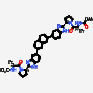 COC(=O)N[C@@H](C(=O)N1CCC[C@H]1c1nc2cc(-c3ccc4ccc(-c5ccc6[nH]c([C@@H]7CCCN7C(=O)[C@H](NC(=O)O)C(C)C)nc6c5)cc4c3)ccc2[nH]1)C(C)C